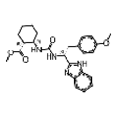 COC(=O)[C@@H]1CCCC[C@H]1NC(=O)N[C@H](Cc1ccc(OC)cc1)c1nc2ccccc2[nH]1